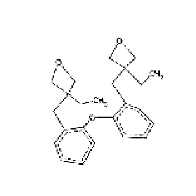 CCC1(Cc2ccccc2Oc2ccccc2CC2(CC)COC2)COC1